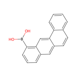 OB(O)c1cccc2cc3ccc4ccccc4c3cc12